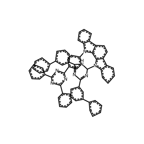 c1ccc(-c2cccc(C3=NC(n4c5ccccc5c5ccc6c7ccccc7n(-c7ccc(-c8nc(-c9ccccc9)nc(-c9ccccc9)n8)cc7)c6c54)NC(c4cccc(-c5ccccc5)c4)=N3)c2)cc1